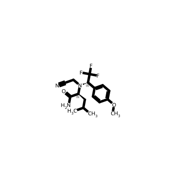 COc1ccc([C@H](N(CC#N)[C@@H](CC(C)C)C(N)=O)C(F)(F)F)cc1